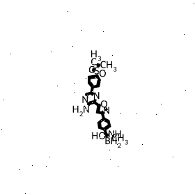 BC(O)(NC)c1ccc(-c2cc(-c3nc(-c4ccc(S(=O)(=O)C(C)C)cc4)cnc3N)on2)cc1